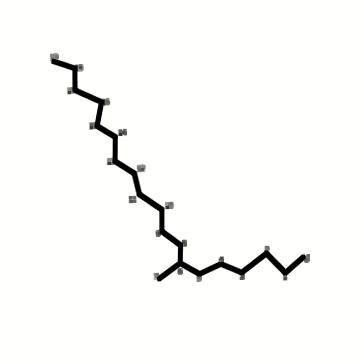 [CH2]CCCCCC(C)CCCCCCCCCCCC